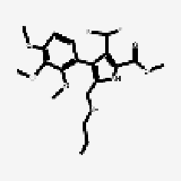 CCCNCc1[nH]c(C(=O)OC)c(C(F)F)c1-c1ccc(OC)c(OC)c1OC